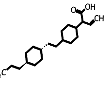 C=CC(C(=O)O)C1CCC(CC[C@H]2CC[C@H](CCC)CC2)CC1